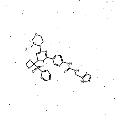 C[C@H]1COCCN1c1cc(C2(S(=O)(=O)c3ccccc3)CCC2)nc(-c2ccc(NC(=O)NCc3ncc[nH]3)cc2)n1